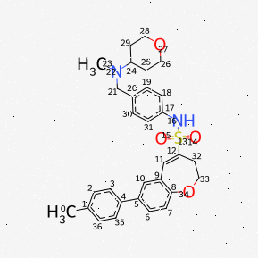 Cc1ccc(-c2ccc3c(c2)C=C(S(=O)(=O)Nc2ccc(CN(C)C4CCOCC4)cc2)CCO3)cc1